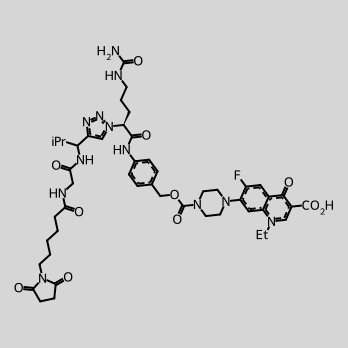 CCn1cc(C(=O)O)c(=O)c2cc(F)c(N3CCN(C(=O)OCc4ccc(NC(=O)[C@H](CCCNC(N)=O)n5cc(C(NC(=O)CNC(=O)CCCCCN6C(=O)CCC6=O)C(C)C)nn5)cc4)CC3)cc21